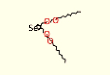 CCCCCCCCCCOCCOCCc1c[se]cc1CCOCCOCCCCCCCCCC